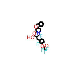 O=C(O)C(Cc1c(F)ccc(OC(=O)C(F)(F)F)c1F)CN1CCC2(CC1)OCc1ccccc12